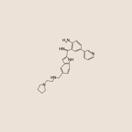 N=C(c1cc2cc(CNCCN3CCCC3)ccc2[nH]1)c1cc(-c2cccnc2)ccc1N